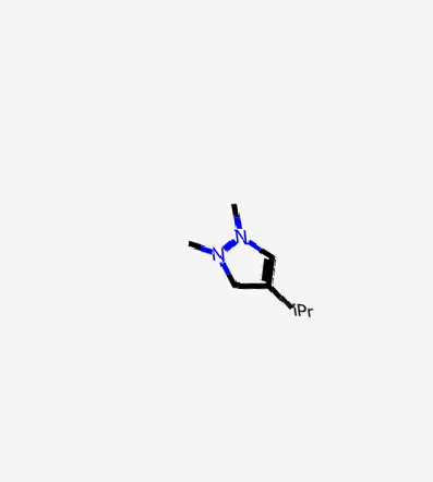 CC(C)C1=CN(C)N(C)C1